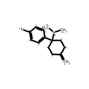 C=C1CCC(c2ccc(F)cc2)(N(C)C)CC1